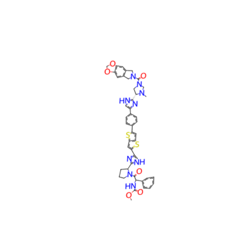 COC(=O)NC(C(=O)N1CCCC1c1nc(-c2cc3sc(-c4ccc(-c5c[nH]c([C@@H]6CN(C(=O)N7Cc8cc9c(cc8C7)OCO9)CN6C)n5)cc4)cc3s2)c[nH]1)c1ccccc1